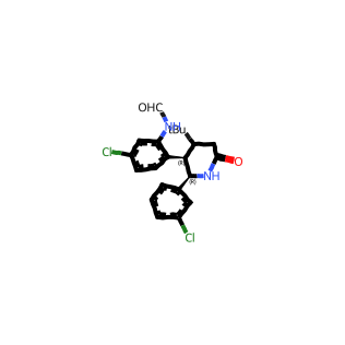 CC(C)(C)C1CC(=O)N[C@@H](c2cccc(Cl)c2)[C@H]1c1ccc(Cl)cc1NC=O